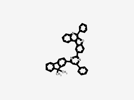 CC1(C)c2ccccc2-c2ccc(-c3cc(-c4ccccc4)nc(-c4ccc5oc6c(-c7ccccc7)nc7ccccc7c6c5c4)n3)cc21